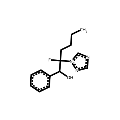 CCCCC(F)(C(O)c1ccccc1)n1cncn1